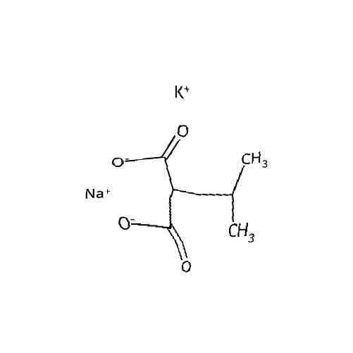 CC(C)C(C(=O)[O-])C(=O)[O-].[K+].[Na+]